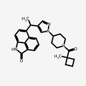 CC(c1cnn(C2CCN(C(=O)C3(C)CCC3)CC2)c1)c1ccc2c3c(cccc13)C(=O)N2